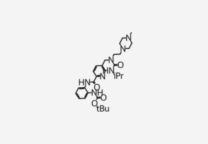 CC(C)NC(=O)N(CCN1CCN(C)CC1)Cc1ccc(C(=O)Nc2ccccc2NC(=O)OC(C)(C)C)nc1